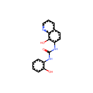 O=C(Nc1ccccc1O)Nc1ccc2cccnc2c1O